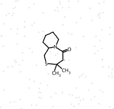 CC1(C)[C]C(=O)N2CCCCC2CS1